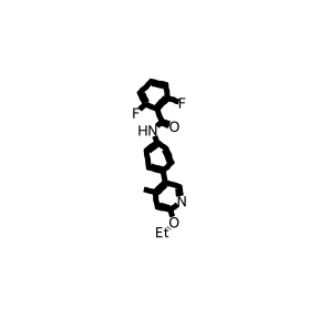 CCOc1cc(C)c(-c2ccc(NC(=O)c3c(F)cccc3F)cc2)cn1